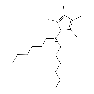 CCCCCC[SiH](CCCCCC)C1C(C)=C(C)C(C)=C1C